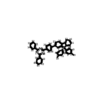 Cc1ccc([Si]2(c3ccc(C)cc3)c3ccccc3-c3ccc(-c4ccc(-c5nc(-c6ccccc6)nc(-c6ccccc6)n5)cc4)cc32)cc1